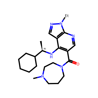 CCn1ncc2c(N[C@H](C)C3CCCCC3)c(C(=O)N3CCCN(C)CC3)cnc21